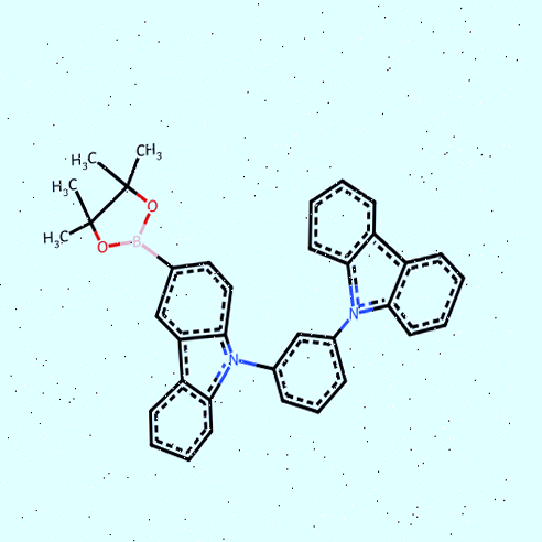 CC1(C)OB(c2ccc3c(c2)c2ccccc2n3-c2cccc(-n3c4ccccc4c4ccccc43)c2)OC1(C)C